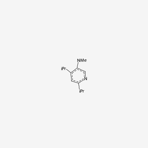 CNc1cnc(C(C)C)cc1C(C)C